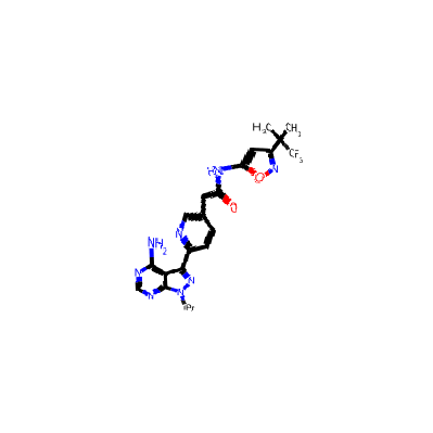 CC(C)n1nc(-c2ccc(CC(=O)Nc3cc(C(C)(C)C(F)(F)F)no3)cn2)c2c(N)ncnc21